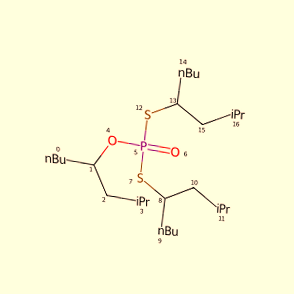 CCCCC(CC(C)C)OP(=O)(SC(CCCC)CC(C)C)SC(CCCC)CC(C)C